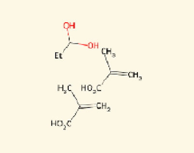 C=C(C)C(=O)O.C=C(C)C(=O)O.CCC(O)O